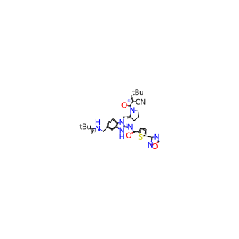 C[C@H](NCc1ccc2c(c1)[nH]/c(=N\C(=O)c1ccc(-c3ncon3)s1)n2C[C@H]1CCCN1C(=O)/C(C#N)=C/C(C)(C)C)C(C)(C)C